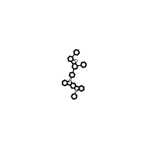 c1ccc(-c2cccc3c2oc2c(-c4ccccc4)cc(-c4ccc(-n5c6ccccc6c6cc7c(cc65)c5ccccc5n7-c5ccccc5)cc4)cc23)cc1